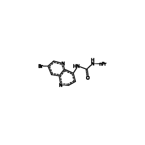 CCCNC(=O)Nc1ccnc2cc(Br)cnc12